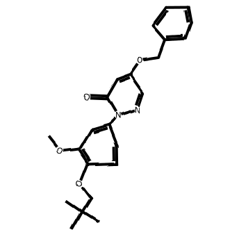 COc1cc(-n2ncc(OCc3ccccc3)cc2=O)ccc1OCC(C)(C)C